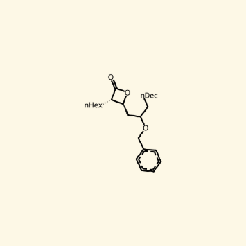 CCCCCCCCCCCC(C[C@@H]1OC(=O)[C@H]1CCCCCC)OCc1ccccc1